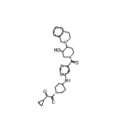 O=C(C(=O)N1CCC(Nc2cc(C(=O)N3CCC(N4CCc5ccccc5C4)C(O)C3)ncn2)CC1)C1CC1